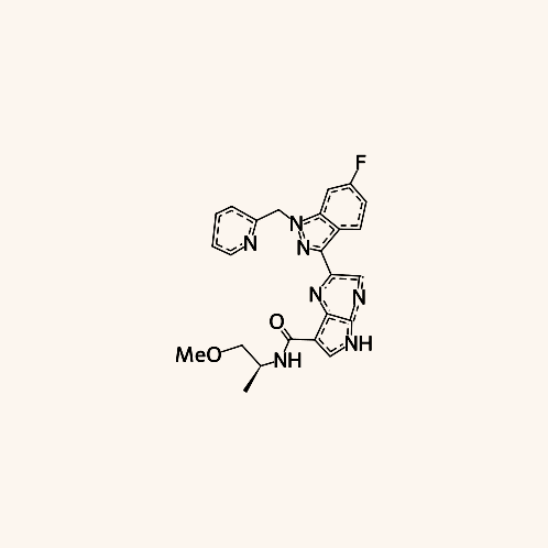 COC[C@H](C)NC(=O)c1c[nH]c2ncc(-c3nn(Cc4ccccn4)c4cc(F)ccc34)nc12